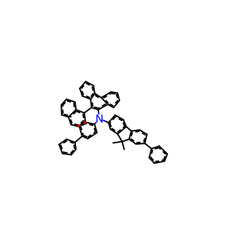 CC1(C)c2cc(-c3ccccc3)ccc2-c2ccc(N(c3ccc(-c4ccccc4)cc3)c3c(-c4cccc5ccccc45)c4ccccc4c4ccccc34)cc21